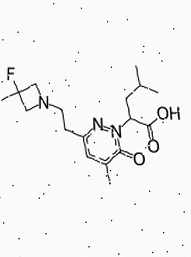 Cc1cc(CCN2CC(C)(F)C2)nn(C(CC(C)C)C(=O)O)c1=O